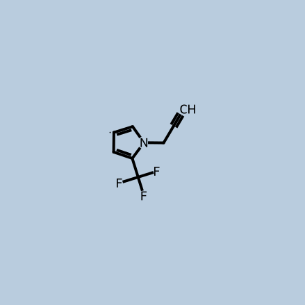 C#CCn1c[c]cc1C(F)(F)F